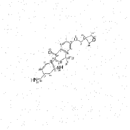 CC1(COc2ccc3c(c2)C(C)(C)c2[nH]c4cc(C=N)ccc4c2C3=O)COC1